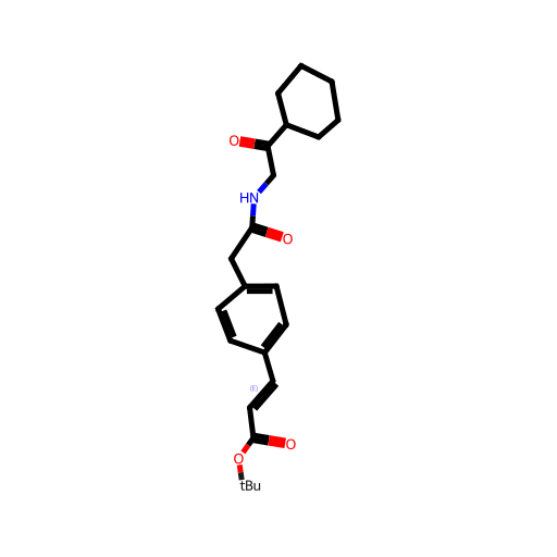 CC(C)(C)OC(=O)/C=C/c1ccc(CC(=O)NCC(=O)C2CCCCC2)cc1